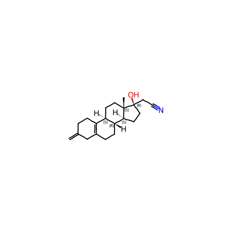 C=C1CCC2=C(CC[C@@H]3[C@@H]2CC[C@@]2(C)[C@H]3CC[C@@]2(O)CC#N)C1